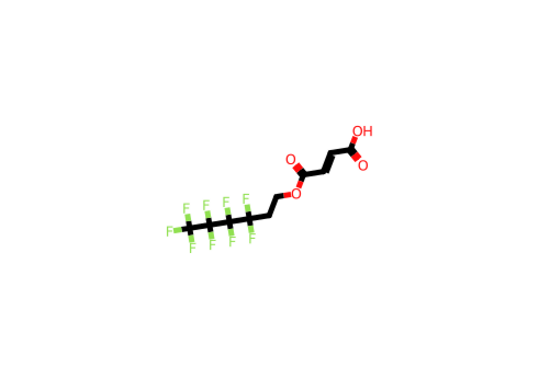 O=C(O)C=CC(=O)OCCC(F)(F)C(F)(F)C(F)(F)C(F)(F)F